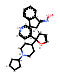 O/N=C1\c2ccccc2C[C@H]1C1C=COC1(c1ccncc1)C1CCN(C2CCCC2)CC1